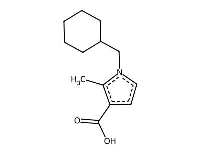 Cc1c(C(=O)O)ccn1CC1CCCCC1